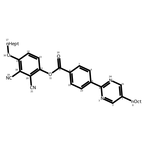 CCCCCCCCc1cnc(-c2ccc(C(=O)Oc3ccc(OCCCCCCC)c(C#N)c3C#N)cc2)nc1